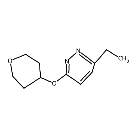 CCc1ccc(OC2CCOCC2)nn1